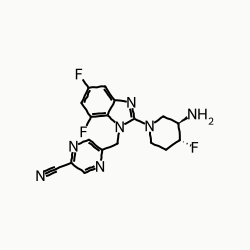 N#Cc1cnc(Cn2c(N3CC[C@@H](F)[C@H](N)C3)nc3cc(F)cc(F)c32)cn1